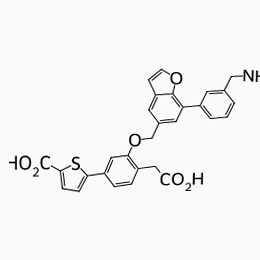 NCc1cccc(-c2cc(COc3cc(-c4ccc(C(=O)O)s4)ccc3CC(=O)O)cc3ccoc23)c1